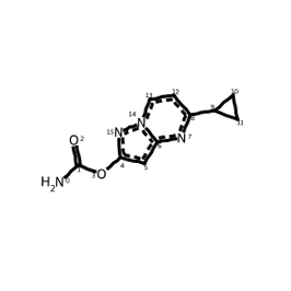 NC(=O)Oc1cc2nc(C3CC3)ccn2n1